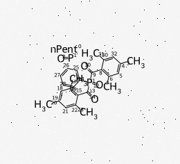 CCCCCP=O.Cc1cc(C)c(C(=O)P(=O)(C(=O)c2c(C)cc(C)cc2C)c2ccccc2)c(C)c1